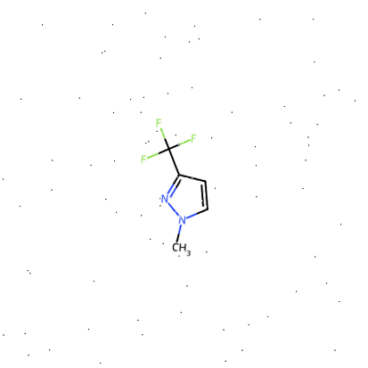 CN1C=CC(C(F)(F)F)=[N+]1